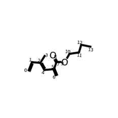 C=CC(C)=CC(=C)C(=O)OCCCC